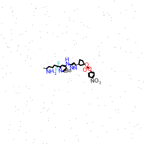 C[C@H](N)CCCC(F)(F)c1cc(Nc2cc([C@H]3CC[C@@H](OC(=O)Oc4ccc([N+](=O)[O-])cc4)C3)nn2C(C)(C)C)ccn1